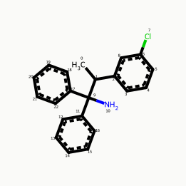 CC(c1cccc(Cl)c1)C(N)(c1ccccc1)c1ccccc1